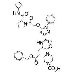 O=C(CCC(NC(=O)c1cc(OCC(=O)N2CCCC2C(=O)NC2CCC2)n(-c2ccccc2)n1)C(=O)N1CCN(C(=O)O)CC1)OCc1ccccc1